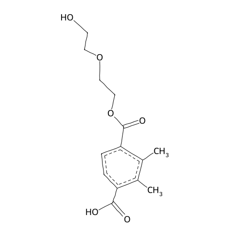 Cc1c(C(=O)O)ccc(C(=O)OCCOCCO)c1C